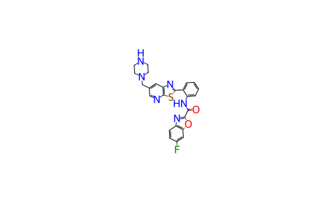 O=C(Nc1ccccc1-c1nc2cc(CN3CCNCC3)cnc2s1)c1nc2ccc(F)cc2o1